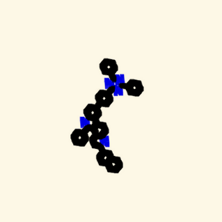 c1ccc(-c2nc(-c3ccccc3)nc(-c3ccc(-c4ccc5nc(-c6ccccc6)c6c7ccc(-c8ccc9ccccc9c8)nc7ccc6c5c4)cc3)n2)cc1